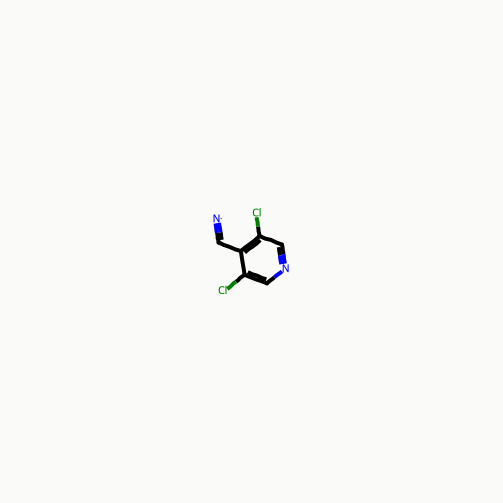 [N]=Cc1c(Cl)cncc1Cl